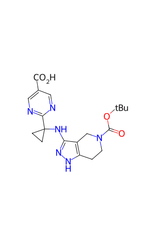 CC(C)(C)OC(=O)N1CCc2[nH]nc(NC3(c4ncc(C(=O)O)cn4)CC3)c2C1